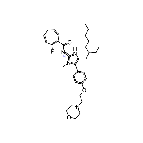 CCCCCC(CC)Cc1[nH]/c(=N\C(=O)C2=C(F)C=CCC=C2)n(C)c1-c1ccc(OCCN2CCOCC2)cc1